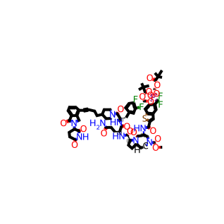 COC(=O)N1CC[C@H]2CC[C@@H](C(=O)N[C@@H](CCC(N)=O)C(=O)N[C@@H](Cc3ccc(F)c(F)c3)C(=O)N3CCC(CCC#Cc4cccc5c4CN(C4CCC(=O)NC4=O)C5=O)CC3)N2C(=O)[C@@H](NC(=O)c2cc3cc(C(F)(F)P(=O)(OCOC(=O)C(C)(C)C)OCOC(=O)C(C)(C)C)ccc3s2)C1